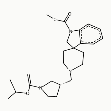 C=C(OC(C)C)N1CC[C@@H](CN2CCC3(CC2)CN(C(=O)CC)c2ccccc23)C1